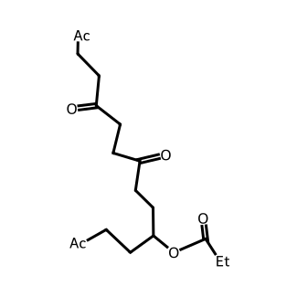 CCC(=O)OC(CCC(C)=O)CCC(=O)CCC(=O)CCC(C)=O